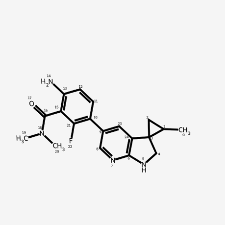 CC1CC12CNc1ncc(-c3ccc(N)c(C(=O)N(C)C)c3F)cc12